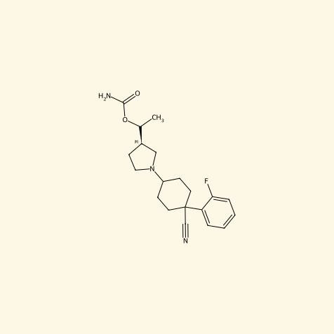 CC(OC(N)=O)[C@@H]1CCN(C2CCC(C#N)(c3ccccc3F)CC2)C1